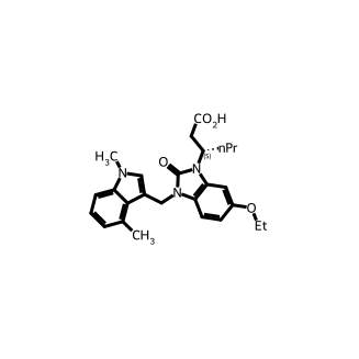 CCC[C@@H](CC(=O)O)n1c(=O)n(Cc2cn(C)c3cccc(C)c23)c2ccc(OCC)cc21